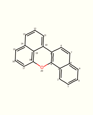 c1ccc2c3c(ccc2c1)-c1cccc2cccc(c12)O3